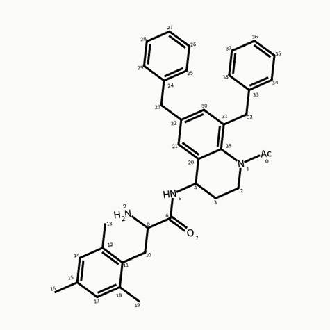 CC(=O)N1CCC(NC(=O)C(N)Cc2c(C)cc(C)cc2C)c2cc(Cc3ccccc3)cc(Cc3ccccc3)c21